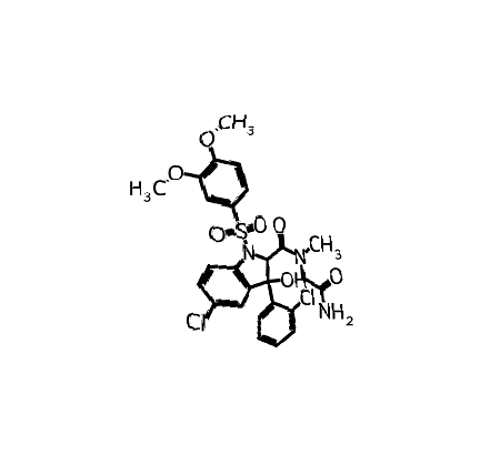 COc1ccc(S(=O)(=O)N2c3ccc(Cl)cc3C(O)(c3ccccc3Cl)C2C(=O)N(C)CC(N)=O)cc1OC